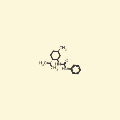 CC(C)[C@@H]1CC[C@@H](C)CC1NC(=O)Nc1ccccc1